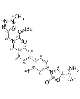 CC(=O)[C@@H](N)C1CN(c2ccc(-c3ccc(CN(Cc4nnn(C)n4)C(=O)OC(C)(C)C)cc3)c(F)c2)C(=O)O1